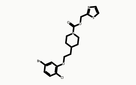 O=C(OCc1nccs1)N1CCC(CCOc2cc(Br)ccc2Cl)CC1